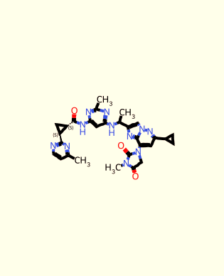 Cc1ccnc([C@H]2C[C@@H]2C(=O)Nc2cc(NC(C)c3cn4nc(C5CC5)cc(N5CC(=O)N(C)C5=O)c4n3)nc(C)n2)n1